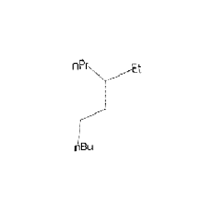 [CH2]CC(C[CH]C)CCCCCC